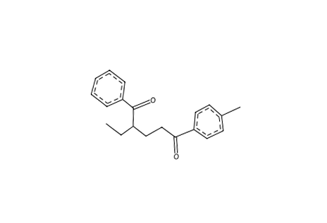 CCC(CCC(=O)c1ccc(C)cc1)C(=O)c1ccccc1